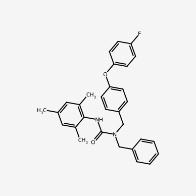 Cc1cc(C)c(NC(=O)N(Cc2ccccc2)Cc2ccc(Oc3ccc(F)cc3)cc2)c(C)c1